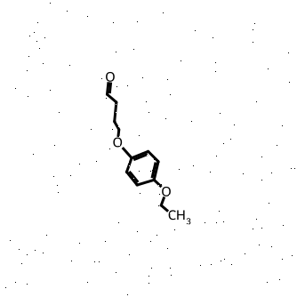 CCOc1ccc(OCCCC=O)cc1